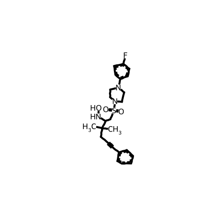 CC(C)(CC#Cc1ccccc1)C(CS(=O)(=O)N1CCN(c2ccc(F)cc2)CC1)NO